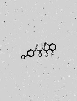 O=C(NC(=O)N(F)c1ccc(Cl)cc1)c1c(F)cccc1F